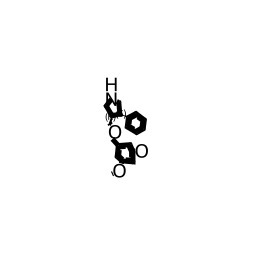 COc1cc(COC[C@H]2CNC[C@@H]2c2ccccc2)cc(OC)c1